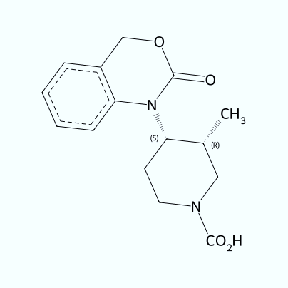 C[C@@H]1CN(C(=O)O)CC[C@@H]1N1C(=O)OCc2ccccc21